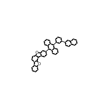 c1cc(-c2ccc3ccccc3c2)cc(-c2c3ccccc3c(-c3ccc4c(c3)oc3ccc5c6ccccc6oc5c34)c3ccccc23)c1